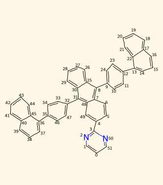 c1cnc(-c2ccc3c(-c4ccc(-c5cccc6ccccc56)cc4)c4ccccc4c(-c4ccc(-c5cccc6ccccc56)cc4)c3c2)nc1